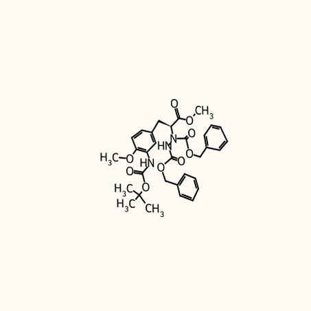 COC(=O)[C@H](Cc1ccc(OC)c(NC(=O)OC(C)(C)C)c1)N(NC(=O)OCc1ccccc1)C(=O)OCc1ccccc1